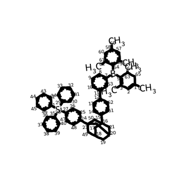 CC1=CC(C)=C(B(c2cccc(-c3ccc(C45CC6CC(C4)CC(c4ccc([Si](c7ccccc7)(c7ccccc7)c7ccccc7)cc4)(C6)C5)cc3)c2)c2c(C)cc(C)cc2C)C(C)C1